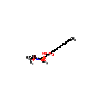 CCCCCCCCCCCCCCCC(=O)OC[C@@H](O)COP(=O)(CCCNC(=O)OC(C)(C)C)OC